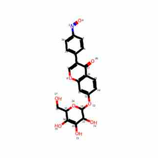 O=Nc1ccc(-c2coc3cc(OC4OC(CO)C(O)=C(O)C4O)ccc3c2=O)cc1